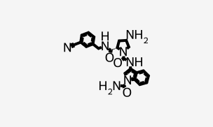 N#Cc1cccc(CNC(=O)[C@@H]2C[C@H](N)CN2C(=O)Nc2cn(C(N)=O)c3ccccc23)c1